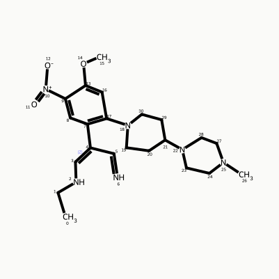 CCN/C=C(\C=N)c1cc([N+](=O)[O-])c(OC)cc1N1CCC(N2CCN(C)CC2)CC1